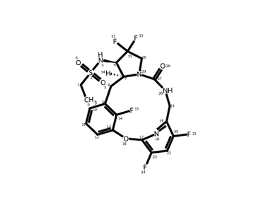 CCS(=O)(=O)N[C@@H]1[C@@H]2Cc3cccc(c3F)Oc3nc(c(F)cc3F)CNC(=O)N2CC1(F)F